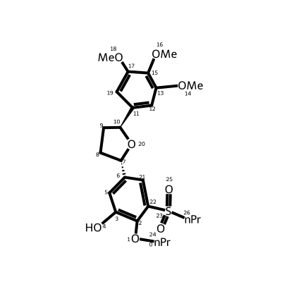 CCCOc1c(O)cc([C@@H]2CC[C@@H](c3cc(OC)c(OC)c(OC)c3)O2)cc1S(=O)(=O)CCC